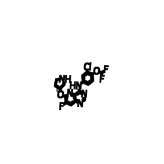 Fc1cc2ncnc(Nc3ccc(OC(F)F)c(Cl)c3)c2nc1O[C@H]1CCNC1